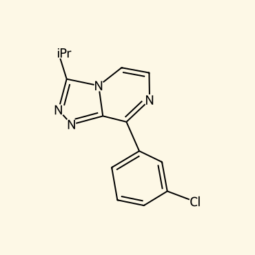 CC(C)c1nnc2c(-c3cccc(Cl)c3)nccn12